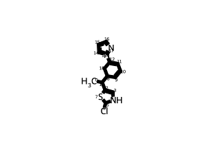 CC(C1=CNC(Cl)S1)C1C=CC=C(n2cccn2)C1